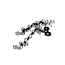 CCOC(=O)C(N)(CC)CCOCCOCCOCCNC(=O)OC(C)(C)C.CCOC(=O)[C@@](CC)(CCOCCOCCOCCNC(=O)OC(C)(C)C)NC(=O)OCC1c2ccccc2-c2ccccc21